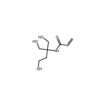 C=CC(=O)NC(CO)(CO)CCO